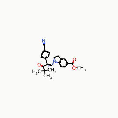 COC(=O)c1ccc2c(c1)CCN2/C=C(/C(=O)C(C)(C)C)c1ccc(C#N)cc1